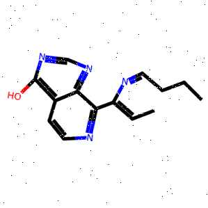 C/C=C(\N=C/CCC)c1nccc2c(O)ncnc12